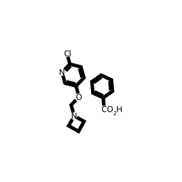 Clc1ccc(OCN2CCC2)cn1.O=C(O)c1ccccc1